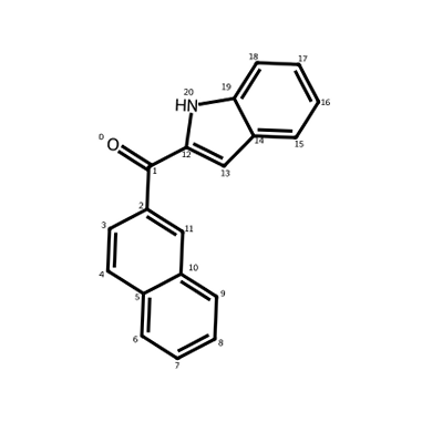 O=C(c1ccc2ccccc2c1)c1cc2ccccc2[nH]1